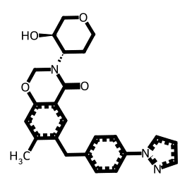 Cc1cc2c(cc1Cc1ccc(-n3cccn3)cc1)C(=O)N([C@H]1CCOC[C@@H]1O)CO2